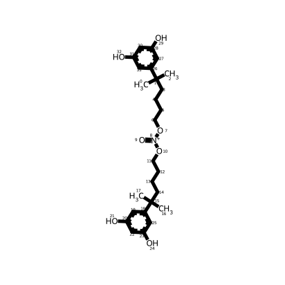 CC(C)(CCCCO[N+](=O)OCCCCC(C)(C)c1cc(O)cc(O)c1)c1cc(O)cc(O)c1